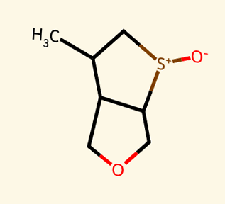 CC1C[S+]([O-])C2COCC12